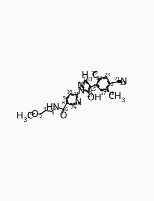 COCCCNC(=O)c1ccc(-n2ncc(-c3cc(C)c(C#N)cc3C)c2O)nc1